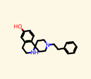 Oc1ccc2c(c1)CCNC21CCN(CCc2ccccc2)CC1